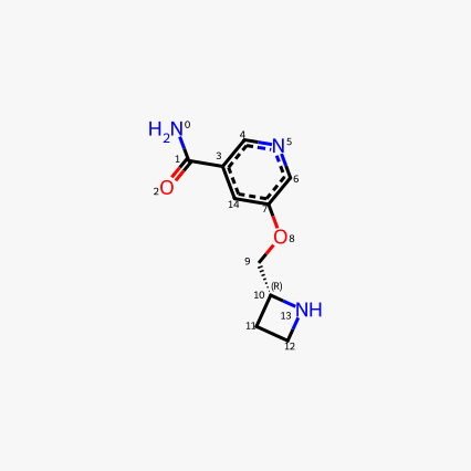 NC(=O)c1cncc(OC[C@H]2CCN2)c1